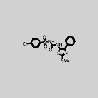 CSc1nc(-c2ccccc2)c(NC(=O)NS(=O)(=O)c2ccc(Cl)cc2)s1